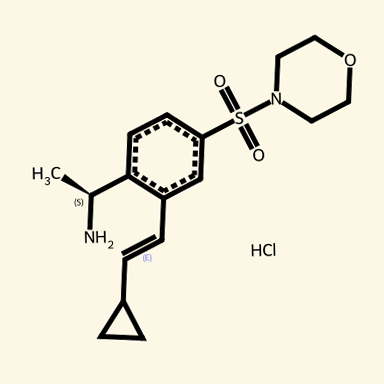 C[C@H](N)c1ccc(S(=O)(=O)N2CCOCC2)cc1/C=C/C1CC1.Cl